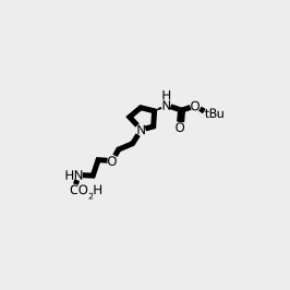 CC(C)(C)OC(=O)N[C@H]1CCN(CCOCCNC(=O)O)C1